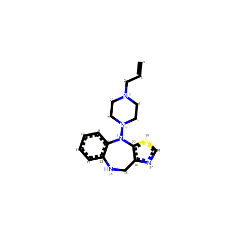 C=CCN1CCN(N2c3ccccc3NCc3ncsc32)CC1